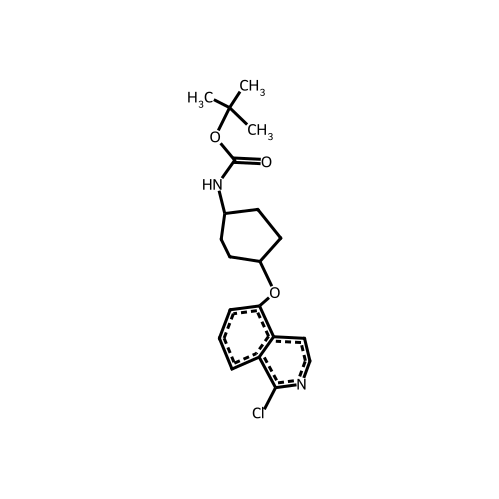 CC(C)(C)OC(=O)NC1CCC(Oc2cccc3c(Cl)nccc23)CC1